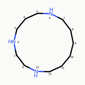 [CH]1[CH]NCCCNCCCCCCN1